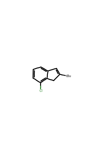 CC(C)(C)C1=Cc2cccc(Cl)c2C1